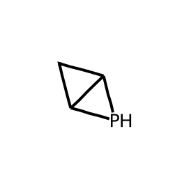 C1C2PC12